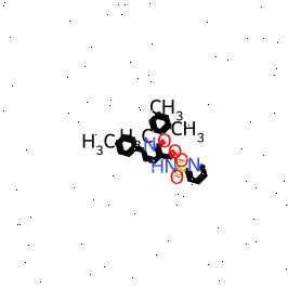 Cc1ccc(-c2ccc(C(=O)NS(=O)(=O)c3ccccn3)c(Oc3c(C)cc(C)cc3C)n2)cc1